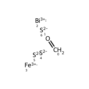 C=O.[Bi+3].[Fe+3].[S-2].[S-2].[S-2]